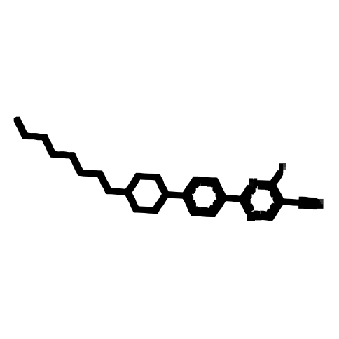 CCCCCCCCC1CCC(c2ccc(-c3ncc(C#N)c(F)n3)cc2)CC1